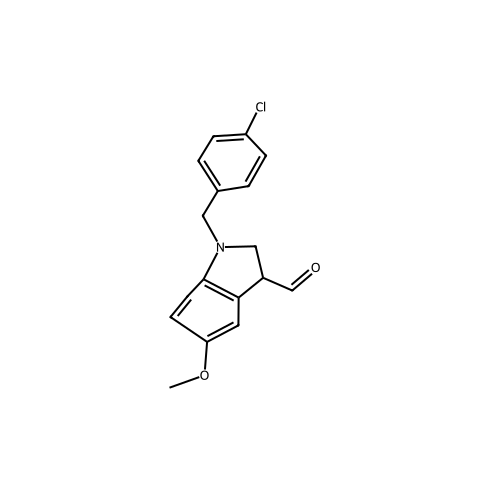 COc1ccc2c(c1)C(C=O)CN2Cc1ccc(Cl)cc1